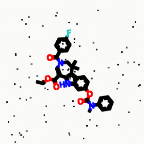 CCOC(=O)C1=CN(C(=O)c2ccc(F)cc2)CC(C)(C)c2c1[nH]c1cc(OC(=O)N(C)c3ccccc3)ccc21